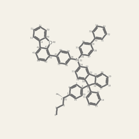 CCC[C@H](C)c1ccc(C2(c3ccccc3)c3ccccc3-c3cc(N(c4ccc(-c5ccccc5)cc4)c4ccc(-c5cccc6c5oc5ccccc56)cc4)ccc32)cc1